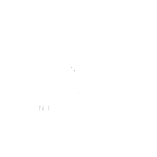 Cc1cccc(C(=O)Nc2cccc(N)c2)c1